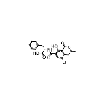 C[C@H]1Cc2c(Cl)cc(C(=O)N[C@@H](Cc3ccccc3)C(=O)O)c(O)c2C(=O)O1